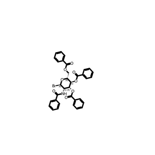 O=C(N[C@H]1[C@@H](OC(=O)c2ccccc2)[C@H](OC(=O)c2ccccc2)[C@@H](COC(=O)c2ccccc2)O[C@@H]1Br)c1ccccc1